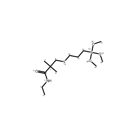 CCNC(=O)C(C)(C)CSCCC[Si](OC)(OC)OC